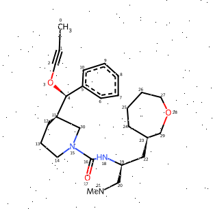 CC#CO[C@@H](c1ccccc1)[C@@H]1CCCN(C(=O)N[C@H](CNC)C[C@H]2CCCCOC2)C1